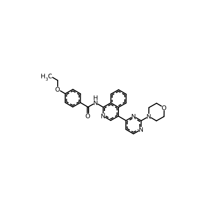 CCOc1ccc(C(=O)Nc2ncc(-c3ccnc(N4CCOCC4)n3)c3ccccc23)cc1